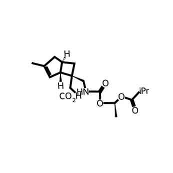 CC1=C[C@@H]2[C@@H](C1)C[C@]2(CNC(=O)O[C@H](C)OC(=O)C(C)C)CC(=O)O